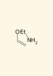 C=C[O].CCN